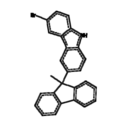 CC1(c2ccc3[nH]c4ccc(Br)cc4c3c2)c2ccccc2-c2ccccc21